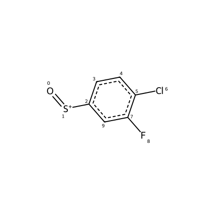 O=[S+]c1ccc(Cl)c(F)c1